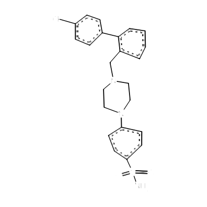 NS(=O)(=O)c1ccc(N2CCN(Cc3ccccc3-c3ccc(Cl)cc3)CC2)cc1